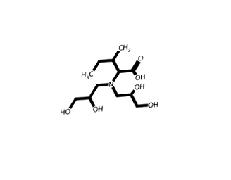 CCC(C)C(C(=O)O)N(CC(O)CO)CC(O)CO